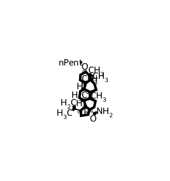 C=C(C)[C@@H]1CC[C@]2(C(N)=O)CC[C@]3(C)[C@H](CC[C@@H]4[C@@]5(C)CC[C@H](OCCCCC)C(C)(C)[C@@H]5CC[C@]43C)[C@@H]12